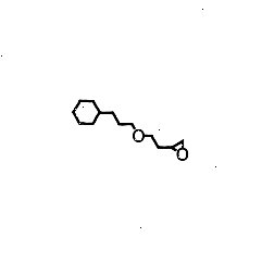 C1CCC(CCCOCCC2CO2)CC1